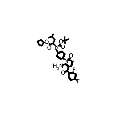 CC(C)CC(C(=O)OC1CCCC1)N(Cc1ccc(-n2c(N)c(C(=O)c3ccc(F)cc3F)ccc2=O)cc1)C(=O)OC(C)(C)C